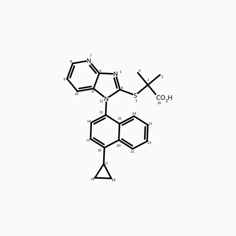 CC(C)(Sc1nc2ncccc2n1-c1ccc(C2CC2)c2ccccc12)C(=O)O